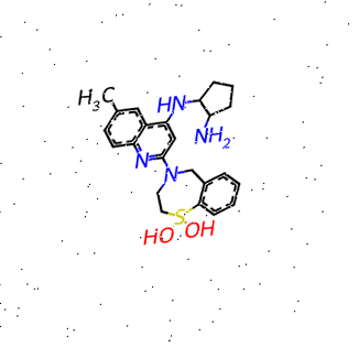 Cc1ccc2nc(N3CCS(O)(O)c4ccccc4C3)cc(NC3CCCC3N)c2c1